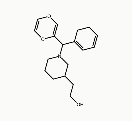 OCCC1CCCN(C(C2=CC=CCC2)C2=COC=CO2)C1